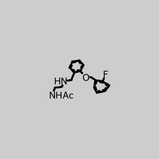 CC(=O)NCCNCc1ccccc1OCc1ccccc1F